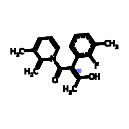 C=C1C(C)=CC=CN1C(=O)/C(=C(\C)O)c1cccc(C)c1F